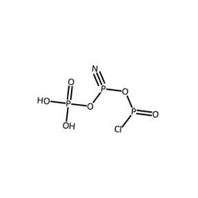 N#P(O[P](=O)Cl)OP(=O)(O)O